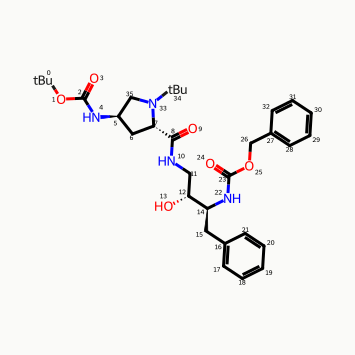 CC(C)(C)OC(=O)N[C@@H]1C[C@@H](C(=O)NC[C@@H](O)[C@H](Cc2ccccc2)NC(=O)OCc2ccccc2)N(C(C)(C)C)C1